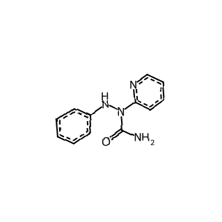 NC(=O)N(Nc1ccccc1)c1ccccn1